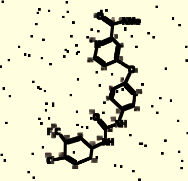 CNC(=O)c1cc(Oc2ccc(NC(=O)NC3C=C(C(F)(F)F)C(Cl)=CC3)cc2)ccn1